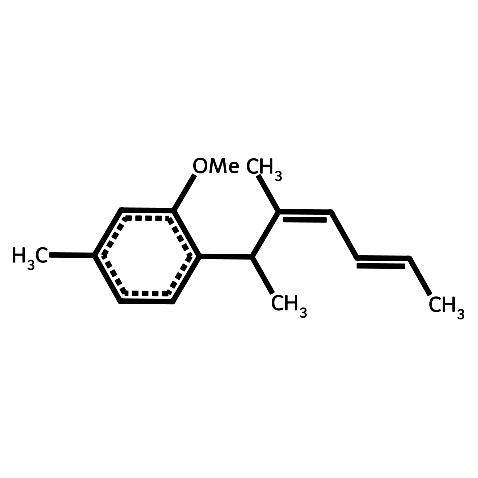 C/C=C/C=C(/C)C(C)c1ccc(C)cc1OC